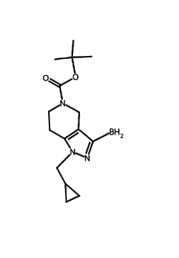 Bc1nn(CC2CC2)c2c1CN(C(=O)OC(C)(C)C)CC2